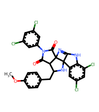 COc1ccc(CC2NC34C(=NC35C(=O)N(c3cc(Cl)cc(Cl)c3)C(=O)C25)Nc2c(Cl)cc(Cl)cc24)cc1